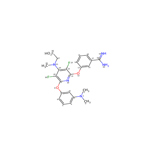 CN(C)c1cccc(Oc2nc(Oc3cccc(C(=N)N)c3)c(F)c(N(C)CC(=O)O)c2F)c1